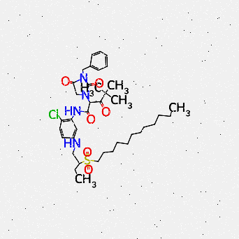 CCCCCCCCCCCCS(=O)(=O)C(CC)CNc1ccc(Cl)c(NC(=O)C(C(=O)C(C)(C)C)N2CC(=O)N(Cc3ccccc3)C2=O)c1